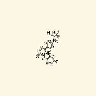 CN(CC(C)(F)P)c1ncc(-c2ccc(=O)n(Cc3ccc(F)cc3F)n2)cn1